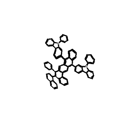 c1ccc(-c2c(-c3cccc4ccccc34)c3ccccc3c3cc4c(-c5ccc6c7ccccc7n(-c7ccccc7)c6c5)c5ccccc5c(-c5ccc6c7ccccc7n(-c7ccccc7)c6c5)c4cc23)cc1